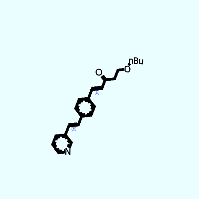 CCCCOCCC(=O)/C=C/c1ccc(/C=C/c2cccnc2)cc1